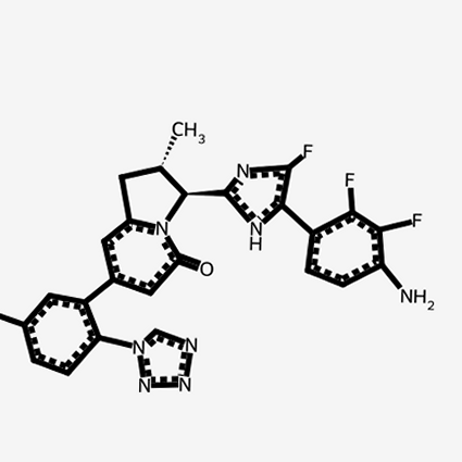 C[C@H]1Cc2cc(-c3cc(Cl)ccc3-n3cnnn3)cc(=O)n2[C@@H]1c1nc(F)c(-c2ccc(N)c(F)c2F)[nH]1